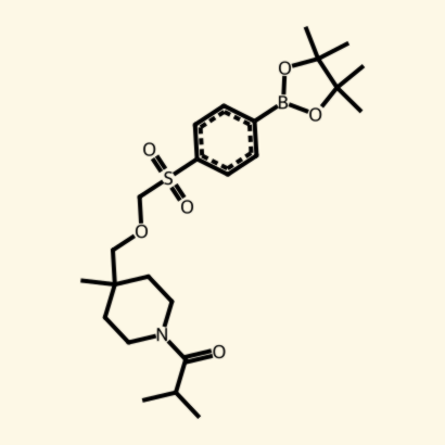 CC(C)C(=O)N1CCC(C)(COCS(=O)(=O)c2ccc(B3OC(C)(C)C(C)(C)O3)cc2)CC1